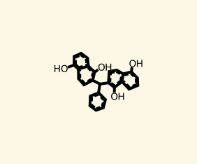 Oc1cccc2c(O)c(C(c3ccccc3)c3ccc4c(O)cccc4c3O)ccc12